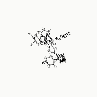 CCCCCc1c(Cc2ccc(-c3ccccc3-c3nnn[nH]3)cc2)c(=O)n2n1CCCC2C1(C(=O)O)CC(C)=C(C)C1